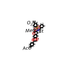 CC[C@@H](c1ccccc1)N(C(Cc1ccc2c(c1)OCC(c1ccc(OC(C)=O)cc1)O2)C(=O)OC)S(=O)(=O)c1ccc([N+](=O)[O-])cc1